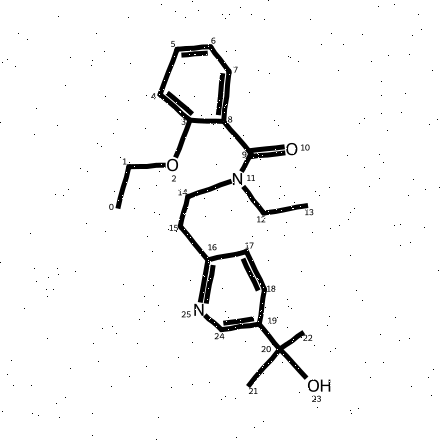 CCOc1ccccc1C(=O)N(CC)CCc1ccc(C(C)(C)O)cn1